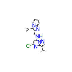 CC(C)c1cnn2c(NCc3nc4ccccn4c3C3CC3)cc(Cl)nc12